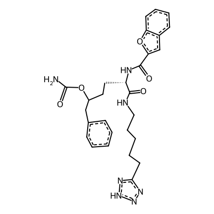 NC(=O)OC(CC[C@H](NC(=O)c1cc2ccccc2o1)C(=O)NCCCCCc1nn[nH]n1)Cc1ccccc1